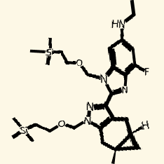 CCNc1cc(F)c2nc(-c3nn(COCC[Si](C)(C)C)c4c3C[C@@H]3C[C@]3(C)C4)n(COCC[Si](C)(C)C)c2c1